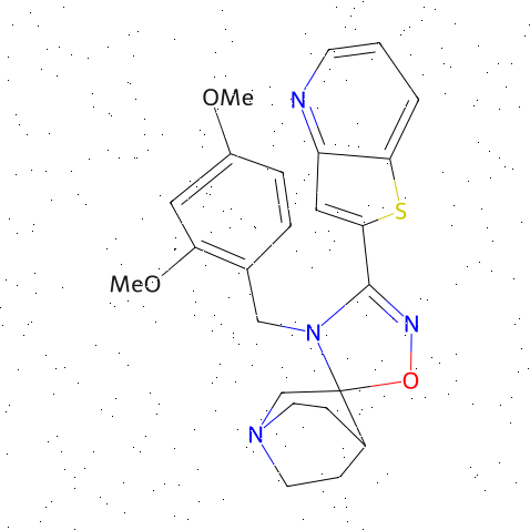 COc1ccc(CN2C(c3cc4ncccc4s3)=NOC23CN2CCC3CC2)c(OC)c1